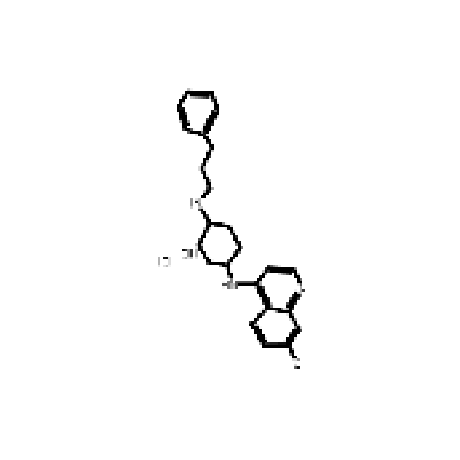 Cl.Cl.Clc1ccc2c(NC3CCC(NCCCc4ccccc4)CC3)ccnc2c1